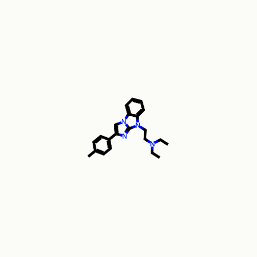 CCN(CC)CCn1c2ccccc2n2cc(-c3ccc(C)cc3)nc12